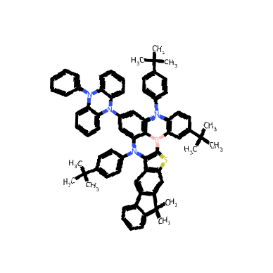 CC(C)(C)c1ccc(N2c3ccc(C(C)(C)C)cc3B3c4sc5cc6c(cc5c4N(c4ccc(C(C)(C)C)cc4)c4cc(N5c7ccccc7N(c7ccccc7)c7ccccc75)cc2c43)-c2ccccc2C6(C)C)cc1